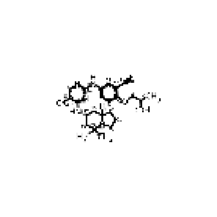 CC(O)COc1ccc(Nc2ncc(Cl)c(N[C@@H]3C[C@@H]4CCCN4C(C)(C)C3)n2)cc1C#N